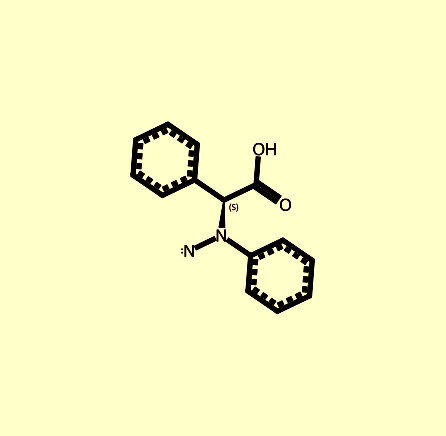 [N]N(c1ccccc1)[C@H](C(=O)O)c1ccccc1